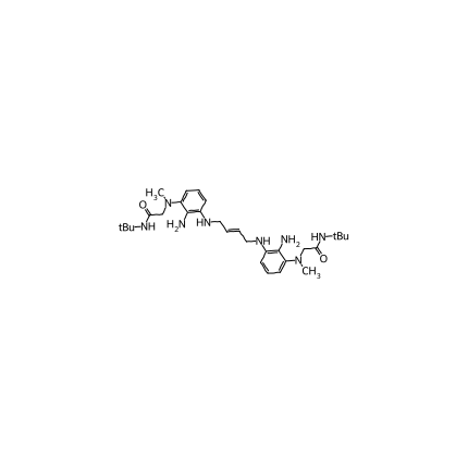 CN(CC(=O)NC(C)(C)C)c1cccc(NC/C=C/CNc2cccc(N(C)CC(=O)NC(C)(C)C)c2N)c1N